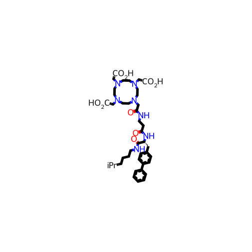 CC(C)CCCCNC(=O)[C@@H](Cc1ccc(-c2ccccc2)cc1)NC(=O)CCNC(=O)CN1CCN(CC(=O)O)CCN(CC(=O)O)CCN(CC(=O)O)CC1